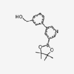 CC1(C)OB(c2cncc(-c3cccc(CO)c3)c2)OC1(C)C